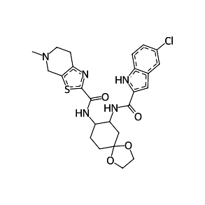 CN1CCc2nc(C(=O)NC3CCC4(CC3NC(=O)c3cc5cc(Cl)ccc5[nH]3)OCCO4)sc2C1